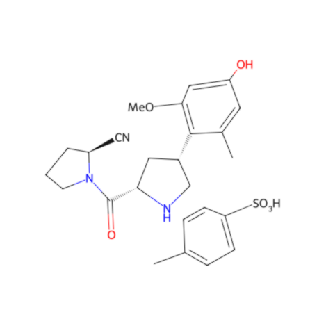 COc1cc(O)cc(C)c1[C@@H]1CN[C@H](C(=O)N2CCC[C@H]2C#N)C1.Cc1ccc(S(=O)(=O)O)cc1